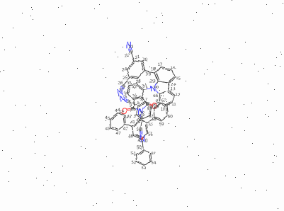 N#Cc1cc(C#N)cc(-c2cccc3c4cccc(-c5cc(C#N)cc(C#N)c5)c4n(-c4cccc5c4C(=O)N(c4c(-c6ccccc6)cc(-c6ccccc6)cc4-c4ccccc4)C5=O)c23)c1